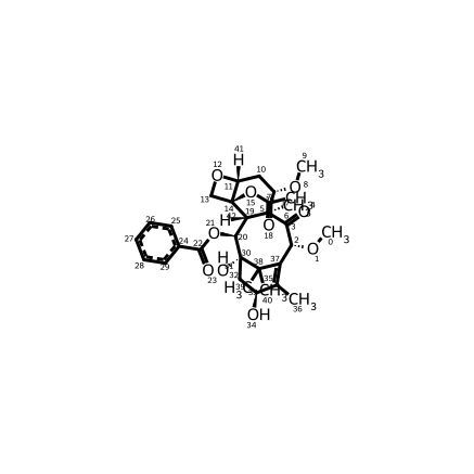 CO[C@H]1C(=O)[C@]2(C)[C@@H](OC)C[C@H]3OC[C@@]3(OC(C)=O)[C@H]2[C@H](OC(=O)c2ccccc2)[C@]2(O)C[C@H](O)C(C)=C1C2(C)C